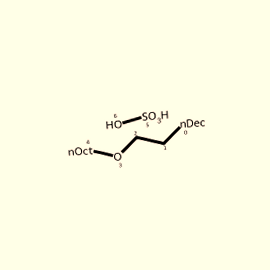 CCCCCCCCCCCCOCCCCCCCC.O=S(=O)(O)O